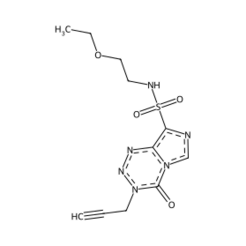 C#CCn1nnc2c(S(=O)(=O)NCCOCC)ncn2c1=O